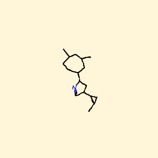 CC1CCC(C2CC(C3CC3C)C=N2)CC(C)C1